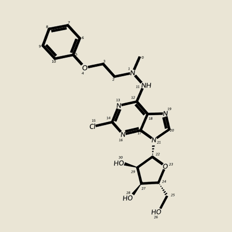 CN(CCOc1ccccc1)Nc1nc(Cl)nc2c1ncn2[C@@H]1O[C@H](CO)[C@@H](O)[C@H]1O